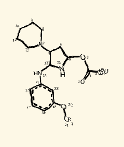 CC(C)(C)C(=O)OC1CC(N2CCCCC2)C(Nc2cccc(OC(F)(F)F)c2)N1